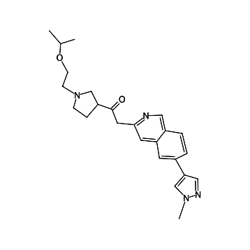 CC(C)OCCN1CCC(C(=O)Cc2cc3cc(-c4cnn(C)c4)ccc3cn2)C1